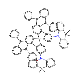 CC1(C)c2ccccc2N(c2ccc3c(c2)-c2c(ccc4c2B(c2ccccc2)c2ccccc2B4c2ccccc2)C32c3ccc(N4c5ccccc5C(C)(C)c5ccccc54)cc3-c3c2ccc2c3B(c3ccccc3)c3ccccc3B2c2ccccc2)c2ccccc21